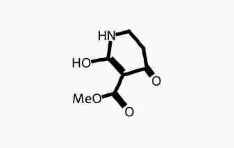 COC(=O)C1=C(O)NCCC1=O